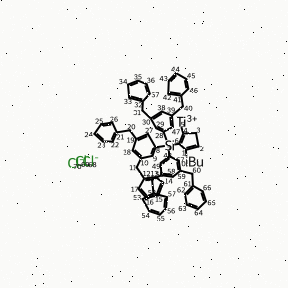 CCC(C)C1=CC[C]([Ti+3])=C1[Si](c1cc(Cc2ccccc2)cc(Cc2ccccc2)c1)(c1cc(Cc2ccccc2)cc(Cc2ccccc2)c1)c1cc(Cc2ccccc2)cc(Cc2ccccc2)c1.[Cl-].[Cl-].[Cl-]